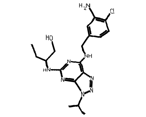 CCC(CO)Nc1nc(NCc2ccc(Cl)c(N)c2)c2nnn(C(C)C)c2n1